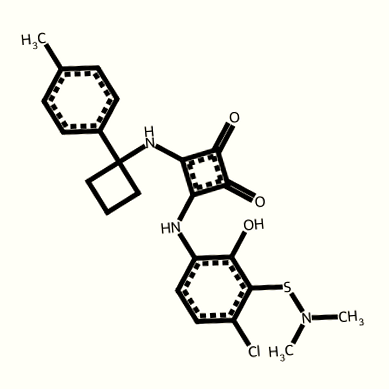 Cc1ccc(C2(Nc3c(Nc4ccc(Cl)c(SN(C)C)c4O)c(=O)c3=O)CCC2)cc1